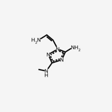 CNc1nc(N)n(/C=C\N)n1